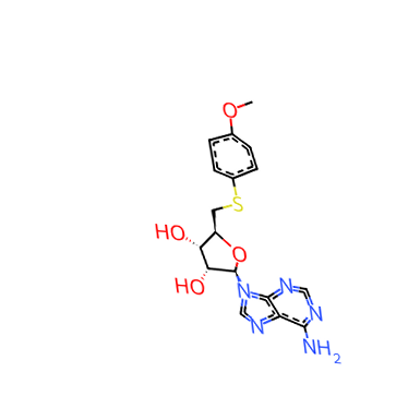 COc1ccc(SC[C@H]2O[C@@H](n3cnc4c(N)ncnc43)[C@H](O)[C@@H]2O)cc1